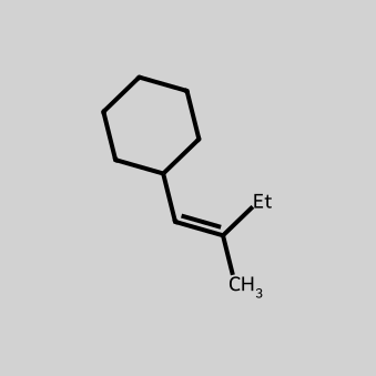 CC/C(C)=C\C1CCCCC1